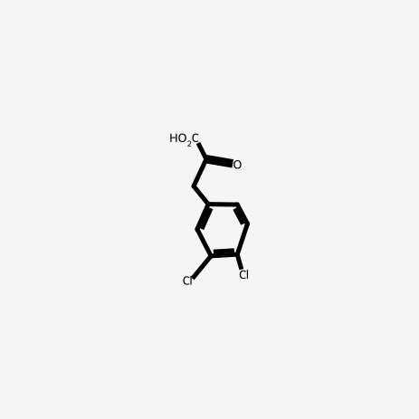 O=C(O)C(=O)Cc1ccc(Cl)c(Cl)c1